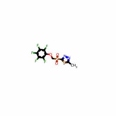 Cc1nnc(S(=O)(=O)COc2c(F)c(F)c(F)c(F)c2F)s1